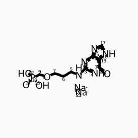 O=c1[nH]c(NCCCOCP(=O)(O)O)nc2nc[nH]c12.[Na].[Na]